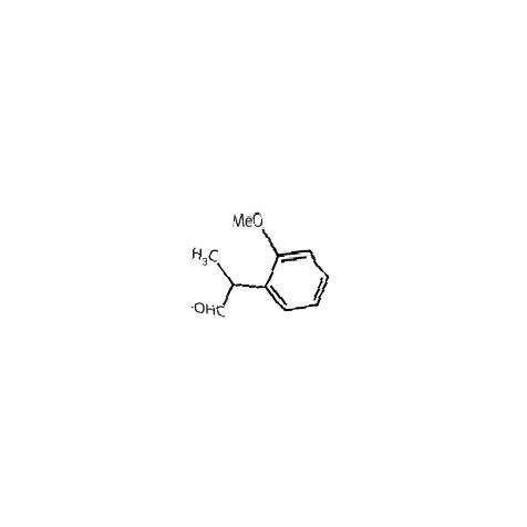 COc1ccccc1C(C)[C]=O